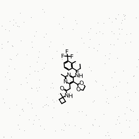 CC[C@@H](Nc1nc(C)nc(CC(=O)NC2(C)CCC2)c1C1OCCO1)c1cccc(C(F)(F)F)c1C